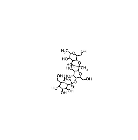 CCC(C)(OC1C(CO)OC(C(C)(CC)OC2C(CO)OC(C)C(O)C2O)C(O)C1O)C1OC(CO)C(O)C(O)C1O